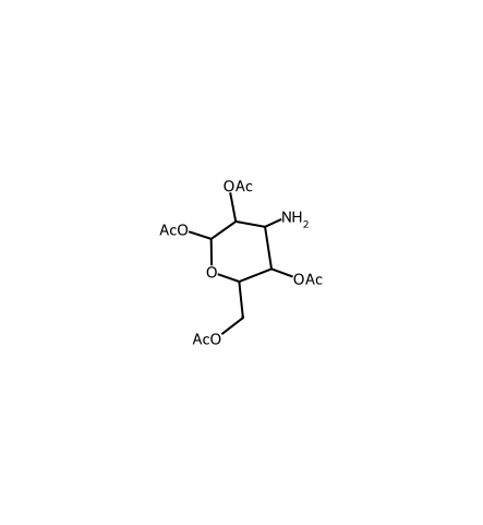 CC(=O)OCC1OC(OC(C)=O)C(OC(C)=O)C(N)C1OC(C)=O